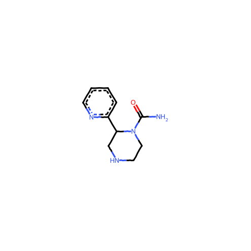 NC(=O)N1CCNCC1c1ccccn1